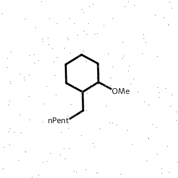 CCCCCCC1CCCC[C]1OC